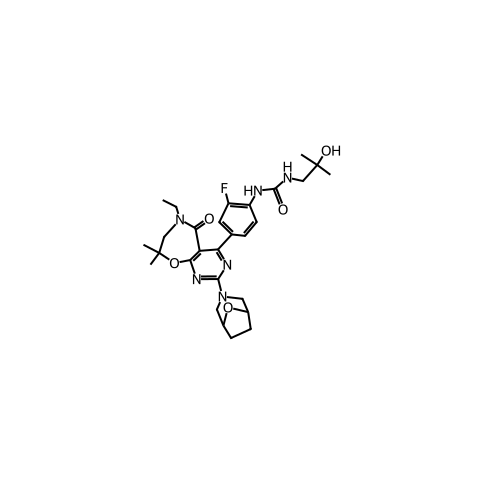 CCN1CC(C)(C)Oc2nc(N3CC4CCC(C3)O4)nc(-c3ccc(NC(=O)NCC(C)(C)O)c(F)c3)c2C1=O